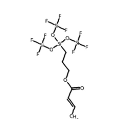 CC=CC(=O)OCCC[Si](O[Si](F)(F)F)(O[Si](F)(F)F)O[Si](F)(F)F